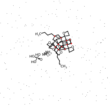 CCCCCCCC1(C2(C3(C4(C5(C6(OC7(C8(C9(C%10(C%11(C%12(CCCCCCC)CCO%12)CCO%11)CCO%10)CCO9)CCO8)CCO7)CCO6)CCO5)CCO4)CCO3)CCO2)CCO1.N.N.N.O=P(O)(O)O